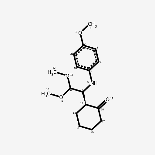 COc1ccc(NC(C(OC)OC)[C@@H]2CCCCC2=O)cc1